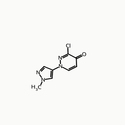 Cn1cc(-n2ccc(=O)c(Cl)n2)cn1